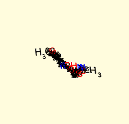 Cc1nnc(-c2cc3c(OCC(O)CN4CCC(c5ccc6c(c5)C[C@H](C)O6)CC4)cccc3o2)o1